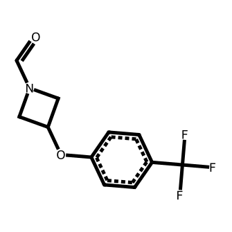 O=CN1CC(Oc2ccc(C(F)(F)F)cc2)C1